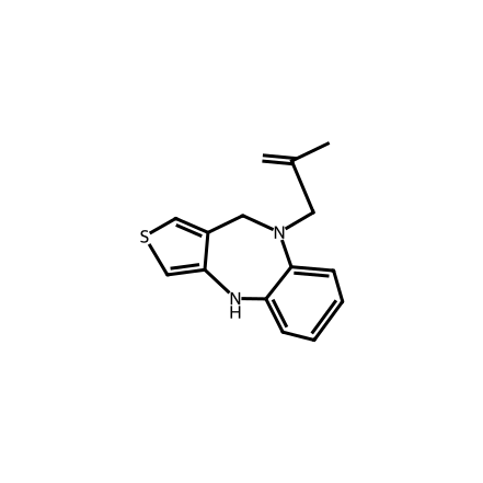 C=C(C)CN1Cc2cscc2Nc2ccccc21